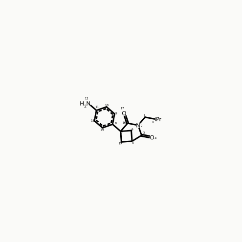 CC(C)CN1C(=O)C2CC(c3ccc(N)cc3)(C2)C1=O